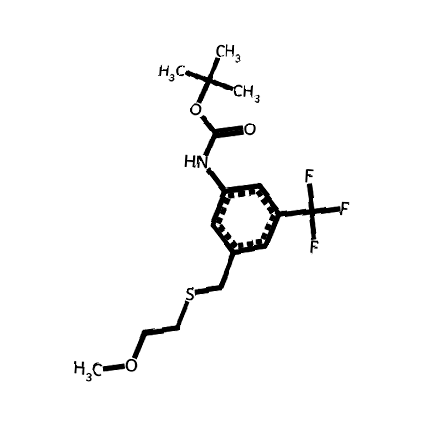 COCCSCc1cc(NC(=O)OC(C)(C)C)cc(C(F)(F)F)c1